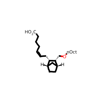 CCCCCCCCOC[C@@H]1[C@@H]2CC[C@@H](C2)[C@@H]1C/C=C\CCCC(=O)O